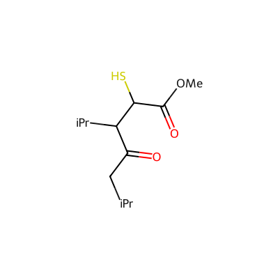 COC(=O)C(S)C(C(=O)CC(C)C)C(C)C